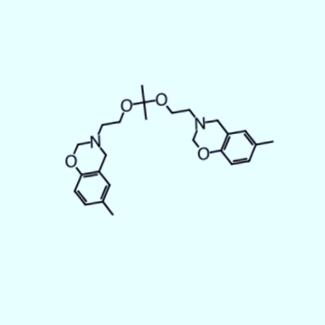 Cc1ccc2c(c1)CN(CCOC(C)(C)OCCN1COc3ccc(C)cc3C1)CO2